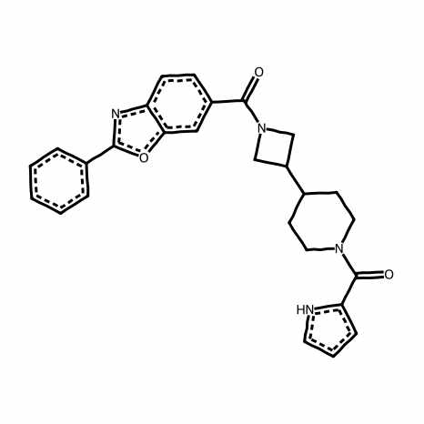 O=C(c1ccc2nc(-c3ccccc3)oc2c1)N1CC(C2CCN(C(=O)c3ccc[nH]3)CC2)C1